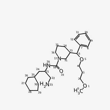 COCCCOC(c1ccccc1)C1CCCN(C(=O)NC(CN)CC2CCCCC2)C1